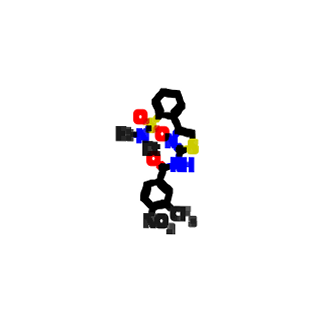 CCN(CC)S(=O)(=O)c1ccccc1-c1csc(NC(=O)c2ccc([N+](=O)[O-])c(C(F)(F)F)c2)n1